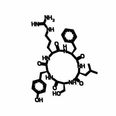 CC(C)C[C@@H]1NC(=O)[C@H](Cc2ccccc2)NC(=O)[C@H](CCCNC(=N)N)NC(=O)[C@H](Cc2ccc(O)cc2)NC(=O)[C@H](CO)NC1=O